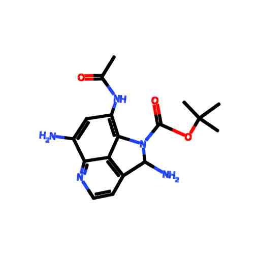 CC(=O)Nc1cc(N)c2nccc3c2c1N(C(=O)OC(C)(C)C)C3N